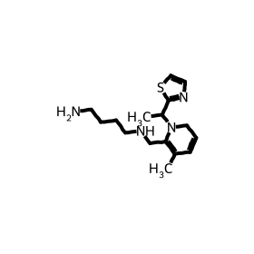 CC1=C(CNCCCCN)N(C(C)c2nccs2)CC=C1